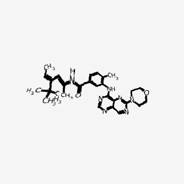 C/C=C(\C=C(/C)NC(=O)c1ccc(C)c(Nc2ncnc3cnc(N4CCOCC4)nc23)c1)C(C)(C)C